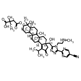 CNCCn1c(-c2ncc(C#N)cn2)nnc1[C@@H](O)[C@@]12CC[C@]3(C)[C@H](CC[C@@H]4[C@@]5(C)CC[C@H](OC(=O)CC(C)(C)C(=O)O)C(C)(C)[C@@H]5CC[C@]43C)C1=C(C(C)C)C(=O)C2